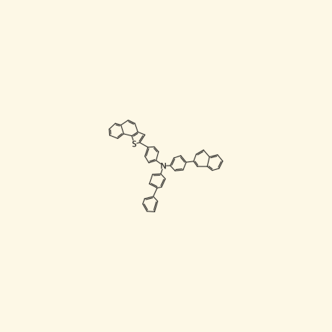 c1ccc(-c2ccc(N(c3ccc(-c4ccc5ccccc5c4)cc3)c3ccc(-c4cc5ccc6ccccc6c5s4)cc3)cc2)cc1